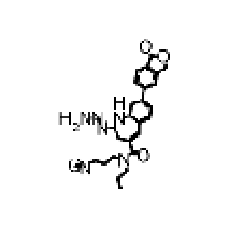 CCCN(CCCN=O)C(=O)C1=CC2=CC=C(c3ccc4c(c3)COC4=O)CC2NC(N=NN)C1